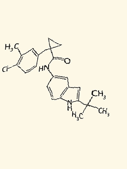 Cc1cc(C2(C(=O)Nc3ccc4[nH]c(C(C)(C)C)cc4c3)CC2)ccc1Cl